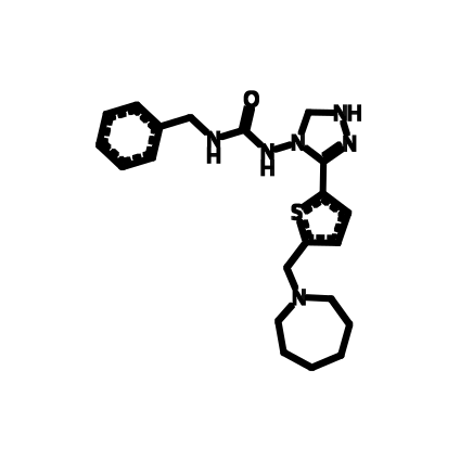 O=C(NCc1ccccc1)NN1CNN=C1c1ccc(CN2CCCCCC2)s1